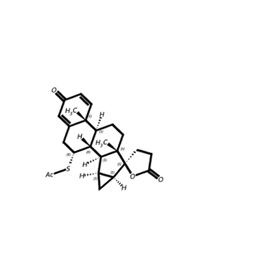 CC(=O)S[C@@H]1CC2=CC(=O)C=C[C@]2(C)[C@H]2CC[C@@]3(C)[C@@H]([C@@H]4C[C@@H]4[C@@]34CCC(=O)O4)[C@H]12